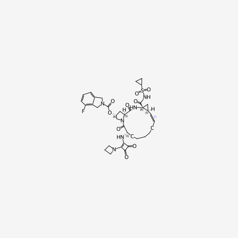 O=C1N[C@]2(C(=O)NS(=O)(=O)C3CC3)C[C@H]2/C=C\CCCCC[C@H](Nc2c(N3CCC3)c(=O)c2=O)C(=O)N2C[C@H](OC(=O)N3Cc4cccc(F)c4C3)C[C@@H]12